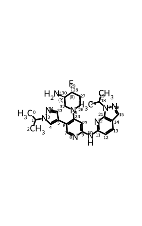 CC(C)n1cc(-c2cnc(Nc3ccc4cnn(C(C)C)c4n3)cc2N2CC[C@@H](F)[C@H](N)C2)cn1